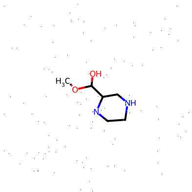 COC(O)C1CNCC[N]1